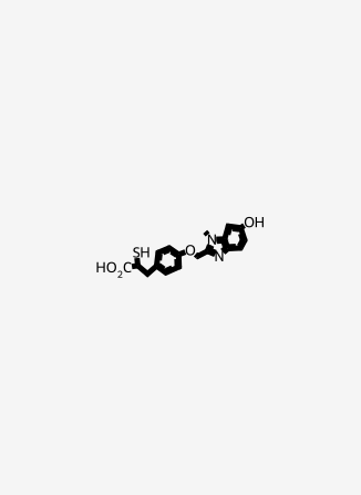 Cn1c(COc2ccc(CC(S)C(=O)O)cc2)nc2ccc(O)cc21